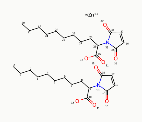 CCCCCCCCCC(C(=O)[O-])N1C(=O)C=CC1=O.CCCCCCCCCC(C(=O)[O-])N1C(=O)C=CC1=O.[Zn+2]